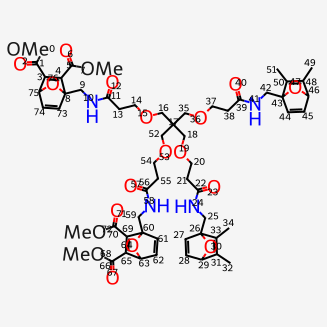 COC(=O)C1=C(C(=O)OC)C2(CNC(=O)CCOCC(COCCC(=O)NCC34C=CC(O3)C(C)=C4C)(COCCC(=O)NCC34C=CC(O3)C(C)=C4C)COCCC(=O)NCC34C=CC(O3)C(C(=O)OC)=C4C(=O)OC)C=CC1O2